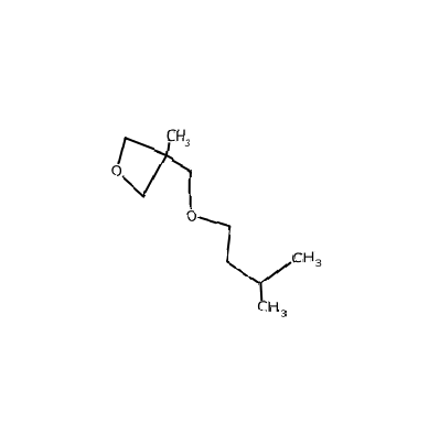 CC(C)CCOCC1(C)COC1